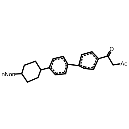 CCCCCCCCCC1CCC(c2ccc(-c3ccc(C(=O)CC(C)=O)cc3)cc2)CC1